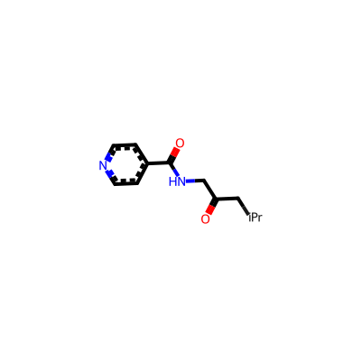 CC(C)CC(=O)CNC(=O)c1ccncc1